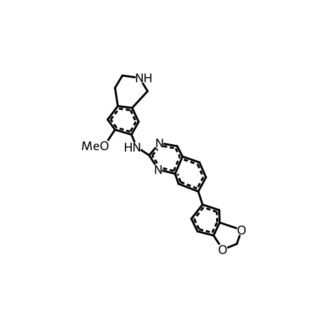 COc1cc2c(cc1Nc1ncc3ccc(-c4ccc5c(c4)OCO5)cc3n1)CNCC2